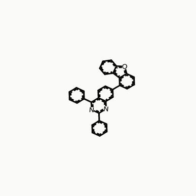 c1ccc(-c2nc(-c3ccccc3)c3ccc(-c4cccc5oc6ccccc6c45)cc3n2)cc1